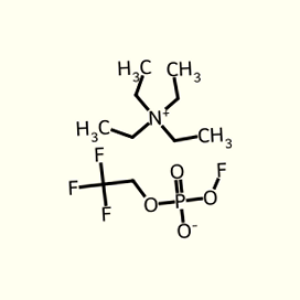 CC[N+](CC)(CC)CC.O=P([O-])(OF)OCC(F)(F)F